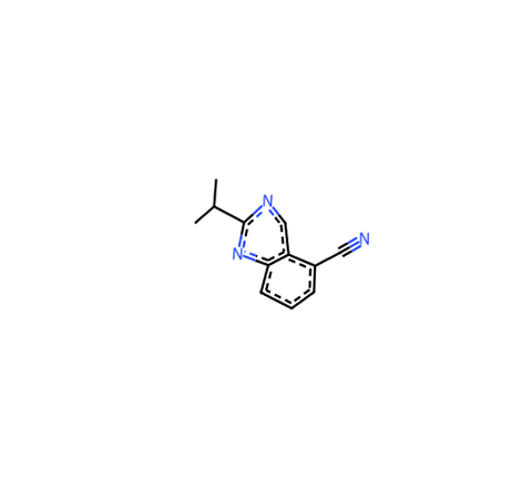 CC(C)c1ncc2c(C#N)cccc2n1